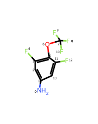 Nc1cc(F)c(OC(F)(F)F)c(F)c1